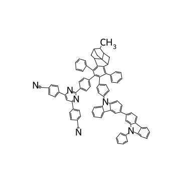 CC1C2CC3CC1CC(C2)c1c(-c2ccccc2)c(-c2ccc(-n4c5ccccc5c5cc(-c6ccc7c8ccccc8n(-c8ccccc8)c7c6)ccc54)cc2)c(-c2ccc(-c4nc(-c5ccc(C#N)cc5)cc(-c5ccc(C#N)cc5)n4)cc2)c(-c2ccccc2)c13